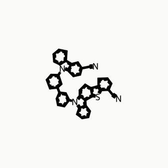 N#Cc1ccc2c(c1)c1ccccc1n2-c1cccc(-c2cccc(-n3c4ccccc4c4c5sc6c(C#N)cccc6c5ccc43)c2)c1